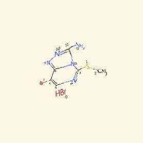 Br.CSc1ncc(Br)c2nnc(N)n12